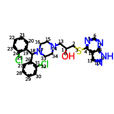 OC(CSc1ncnc2[nH]ncc12)CN1CCN(C(c2ccccc2Cl)c2ccccc2Cl)CC1